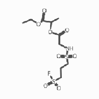 CCOC(=O)C(C)OC(=O)CNS(=O)(=O)CCCS(=O)(=O)F